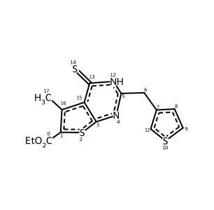 CCOC(=O)c1sc2nc(Cc3ccsc3)[nH]c(=S)c2c1C